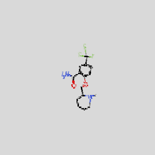 CN1CCCC[C@H]1COc1ccc(C(F)(F)F)cc1C(N)=O